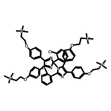 C[N+](C)(C)CCOc1ccc(C2=NC(c3ccccc3Cl)(n3c(-c4ccccc4Cl)nc(-c4ccc(OCC[N+](C)(C)C)cc4)c3-c3ccc(OCC[N+](C)(C)C)cc3)N=C2c2ccc(OCC[N+](C)(C)C)cc2)cc1